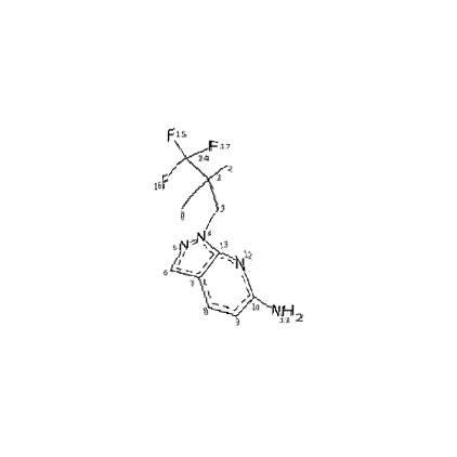 CC(C)(Cn1ncc2ccc(N)nc21)C(F)(F)F